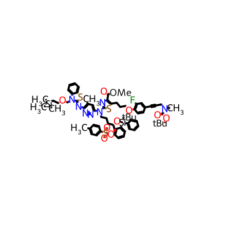 COC(=O)c1nc(N(CCCC(COS(=O)(=O)c2ccc(C)cc2)O[Si](c2ccccc2)(c2ccccc2)C(C)(C)C)c2cc(C)c(/N=c3\sc4ccccc4n3COCC[Si](C)(C)C)nn2)sc1CCCOc1ccc(C#CCN(C)C(=O)OC(C)(C)C)cc1F